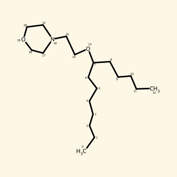 CCCCCCCC(CCCCC)OCCN1CCOCC1